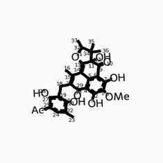 COc1c(O)c2c3c(c1O)C(=O)C1(O)C(=C3C(C)=C(Cc3c(O)c(C)cc(C(C)=O)c3O)C2=O)OC(C)C1(C)C